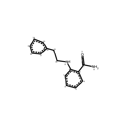 NC(=O)c1ccccc1NCCc1ccccc1